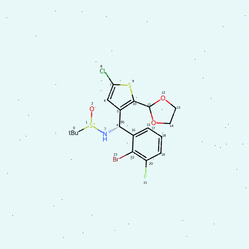 CC(C)(C)[S+]([O-])N[C@H](c1cc(Cl)sc1C1OCCO1)c1cccc(F)c1Br